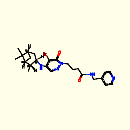 C[C@@H]1[C@H]2C[C@@H](C[C@H]1Nc1cnn(CCCC(=O)NCc3ccncc3)c(=O)c1Br)C2(C)C